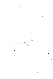 Nc1ccc(-c2noc(-c3ccc(OC(F)(F)F)cc3)n2)cc1F